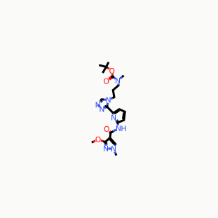 COc1nn(C)cc1C(=O)Nc1cccc(-c2nncn2CCCN(C)C(=O)OC(C)(C)C)n1